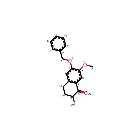 COc1cc2c(cc1OCc1ccccc1)CCC(I)C2=O